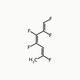 C\C(F)=C/C(F)=C(F)\C(F)=C\F